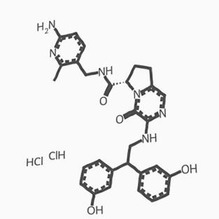 Cc1nc(N)ccc1CNC(=O)[C@@H]1CCc2cnc(NCC(c3cccc(O)c3)c3cccc(O)c3)c(=O)n21.Cl.Cl